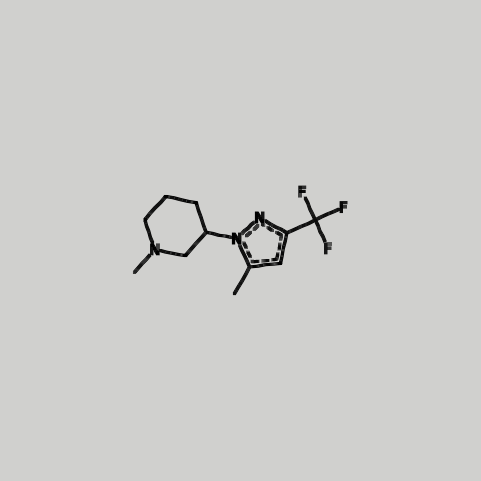 Cc1cc(C(F)(F)F)nn1C1CCCN(C)C1